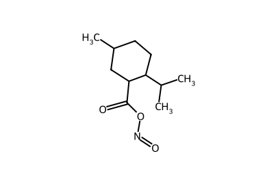 CC1CCC(C(C)C)C(C(=O)ON=O)C1